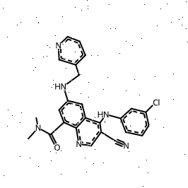 CN(C)C(=O)c1cc(NCc2cccnc2)cc2c(Nc3cccc(Cl)c3)c(C#N)cnc12